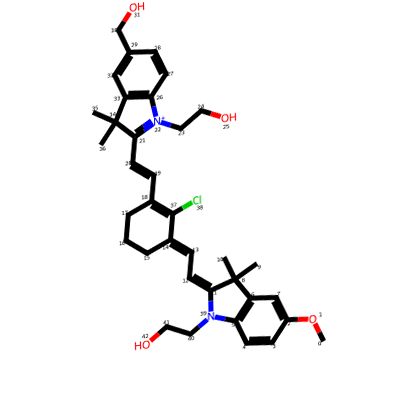 COc1ccc2c(c1)C(C)(C)/C(=C\C=C1/CCCC(/C=C/C3=[N+](CCO)c4ccc(CO)cc4C3(C)C)=C1Cl)N2CCO